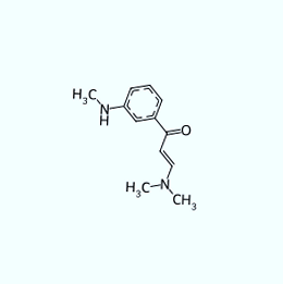 CNc1cccc(C(=O)C=CN(C)C)c1